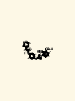 Cc1c(C(=O)O)cccc1N1CC(Oc2ccc(NC(=O)Cc3cccnc3)cc2)C1